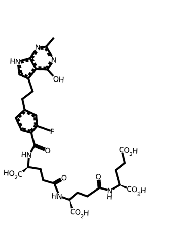 Cc1nc(O)c2c(CCc3ccc(C(=O)N[C@@H](CCC(=O)N[C@@H](CCC(=O)N[C@@H](CCC(=O)O)C(=O)O)C(=O)O)C(=O)O)c(F)c3)c[nH]c2n1